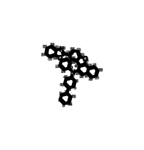 c1ccc(-c2ccc(N(c3ccccc3)c3cc4ccccc4c4oc5ccc(-c6nc7ccccc7o6)cc5c34)cc2)cc1